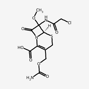 COC1(NC(=O)CCl)C(=O)N2C(C(=O)O)=C(COC(N)=O)CS[C@@H]21